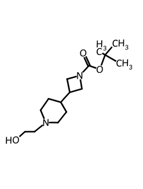 CC(C)(C)OC(=O)N1CC(C2CCN(CCO)CC2)C1